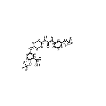 CC(F)(F)Oc1ccc(OC2CCC(NC(=O)Nc3cccc(OC(F)(F)F)c3)CC2)cc1C(=O)O